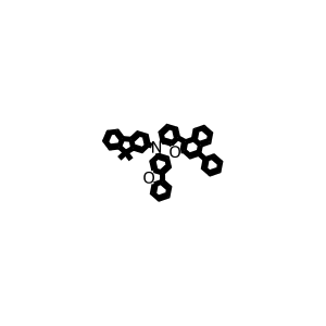 CC1(C)c2ccccc2-c2ccc(N(c3ccc4c(c3)oc3ccccc34)c3cccc4c3oc3cc(-c5ccccc5)c5ccccc5c34)cc21